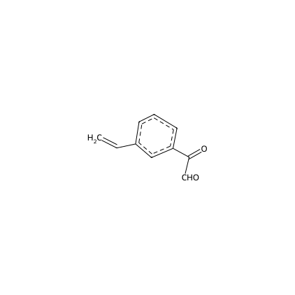 C=Cc1cccc(C(=O)C=O)c1